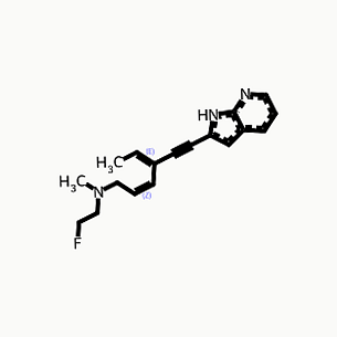 C/C=C(C#Cc1cc2cccnc2[nH]1)\C=C/CN(C)CCF